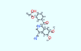 COc1cc2c(C#N)cnc(C(=O)c3cccc(OC(C)O)c3)c2cc1OC